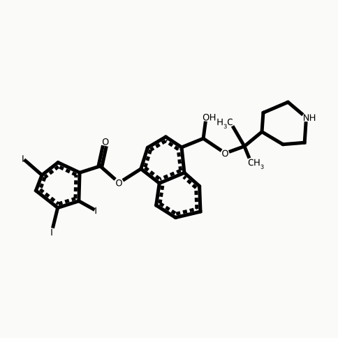 CC(C)(OC(O)c1ccc(OC(=O)c2cc(I)cc(I)c2I)c2ccccc12)C1CCNCC1